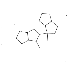 CC1C2CCCC2CC1C1(C)CCC2CCCC21